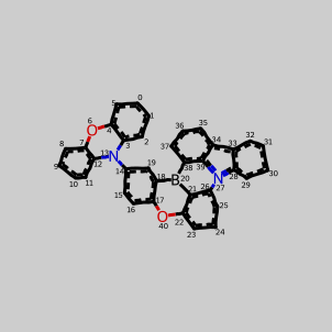 c1ccc2c(c1)Oc1ccccc1N2c1ccc2c(c1)B1c3c(cccc3-n3c4ccccc4c4cccc1c43)O2